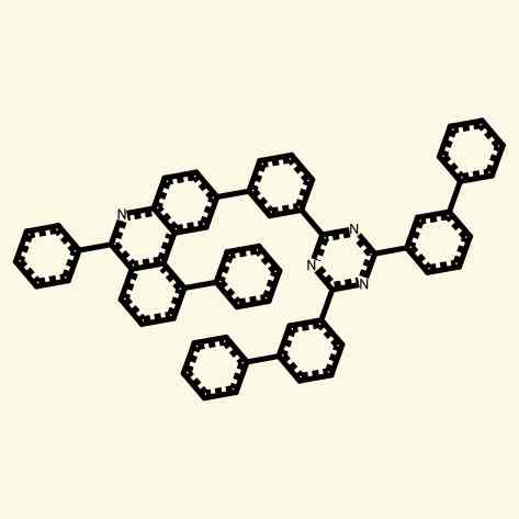 c1ccc(-c2cccc(-c3nc(-c4cccc(-c5ccccc5)c4)nc(-c4cccc(-c5ccc6nc(-c7ccccc7)c7cccc(-c8ccccc8)c7c6c5)c4)n3)c2)cc1